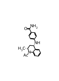 CC(=O)N1c2ccccc2[C@@H](Nc2ccc(C(N)=O)cc2)C[C@H]1C